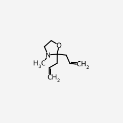 C=CCC1(CC=C)OCCN1C